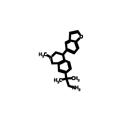 CN1Cc2cc(C(C)(C)CN)ccc2C(c2ccc3occc3c2)C1